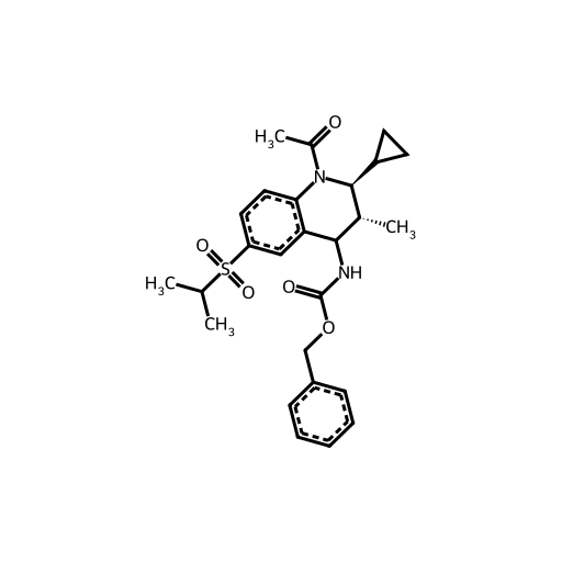 CC(=O)N1c2ccc(S(=O)(=O)C(C)C)cc2C(NC(=O)OCc2ccccc2)[C@@H](C)[C@@H]1C1CC1